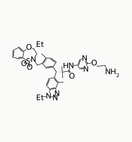 CC[C@@H]1CN(Cc2cc([C@@H](c3ccc4c(nnn4CC)c3C)C(C)(C)C(=O)Nc3cnc(OCCN)nc3)ccc2C)S(=O)(=O)c2ccccc2O1